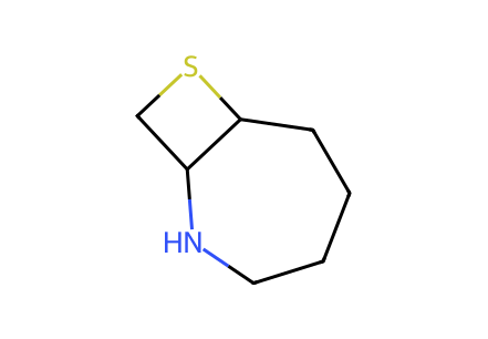 C1CCC2SCC2NC1